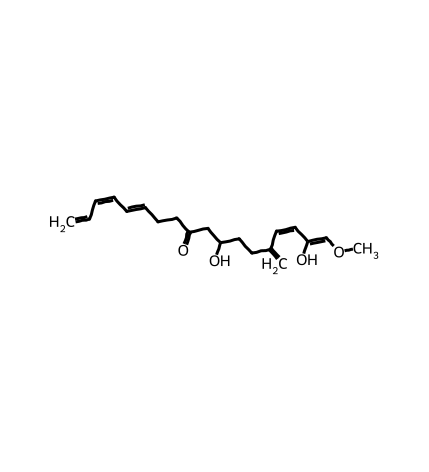 C=C/C=C\C=C\CCC(=O)CC(O)CCC(=C)/C=C\C(O)=C\OC